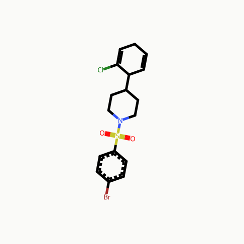 O=S(=O)(c1ccc(Br)cc1)N1CCC(C2C=CCC=C2Cl)CC1